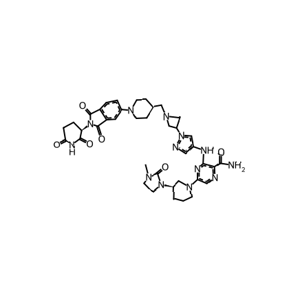 CN1CCN([C@@H]2CCCN(c3cnc(C(N)=O)c(Nc4cnn(C5CN(CC6CCN(c7ccc8c(c7)C(=O)N([C@@H]7CCC(=O)NC7=O)C8=O)CC6)C5)c4)n3)C2)C1=O